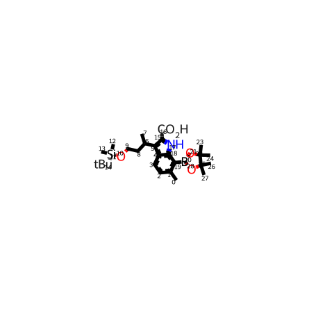 Cc1ccc2c(C(C)CCO[Si](C)(C)C(C)(C)C)c(C(=O)O)[nH]c2c1B1OC(C)(C)C(C)(C)O1